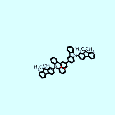 CC1(C)c2ccccc2-c2ccc(N(c3ccccc3)c3ccccc3-c3cccc(-c4ccc5c(c4)c4ccccc4n5-c4ccc5c(c4)C(C)(C)c4ccccc4-5)c3)cc21